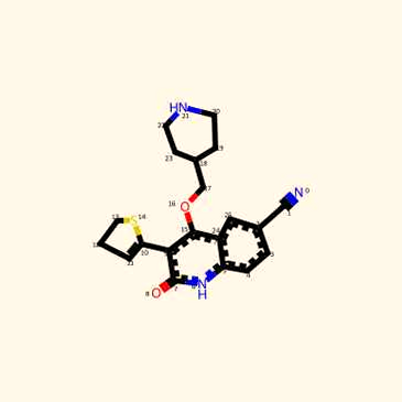 N#Cc1ccc2[nH]c(=O)c(C3=CCCS3)c(OCC3CCNCC3)c2c1